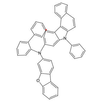 c1ccc(-c2ccccc2N(c2ccc3c(c2)oc2ccccc23)c2ccc3c4c5ccccc5ccc4n(-c4ccccc4)c3c2)cc1